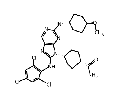 CO[C@H]1CC[C@H](Nc2ncc3nc(Nc4c(Cl)cc(Cl)cc4Cl)n([C@H]4CC[C@@H](C(N)=O)CC4)c3n2)CC1